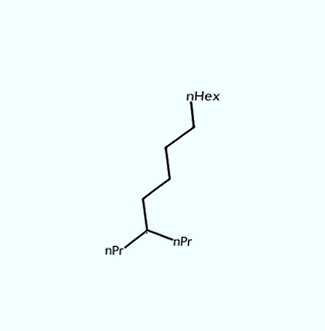 CCCCCCCCCC[C](CCC)CCC